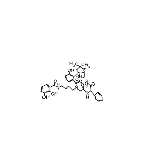 CC1(C)CN2C(=O)[C@@H](CNC(=O)[C@H](NC(=O)CN(CCCCNC(=O)c3cccc(O)c3O)C(=O)c3cccc(O)c3O)c3ccccc3)C2S1